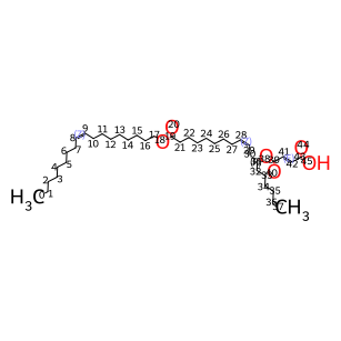 CCCCCCCC/C=C\CCCCCCCCOC(=O)CCCCCCC/C=C\C[C@@H](CCCCCC)OC(=O)/C=C/C(=O)O